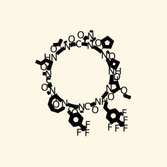 CCO[C@@H]1C[C@H]2C(=O)NC3(CCC3)C(=O)N(C)[C@@H](C3CCCC3)C(=O)N(C)[C@H](C(=O)N(C)C)CC(=O)N(C)[C@@H](C(C)C)C(=O)N[C@@H]([C@@H](C)CC)C(=O)N(C)CC(=O)N(C)[C@H]3C/C=C\CCN(C3=O)[C@@H](Cc3ccc(C(F)(F)F)cc3)C(=O)N(C)CC(=O)N[C@@H](CCc3cc(F)c(C(F)(F)F)c(F)c3)C(=O)N2C1